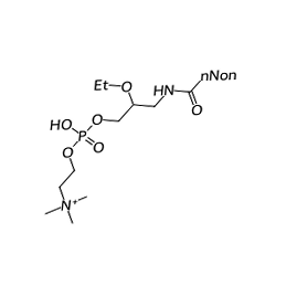 CCCCCCCCCC(=O)NCC(COP(=O)(O)OCC[N+](C)(C)C)OCC